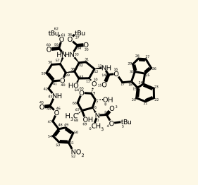 CN(C(=O)OC(C)(C)C)[C@@H]1[C@@H](O)[C@@H](O[C@H]2[C@H](NC(=O)OCC3c4ccccc4-c4ccccc43)C[C@H](NC(=O)OC(C)(C)C)C([C@H]3OC(CNC(=O)OCc4ccc([N+](=O)[O-])cc4)=CC[C@H]3NC(=O)OC(C)(C)C)[C@@H]2O)OC[C@]1(C)O